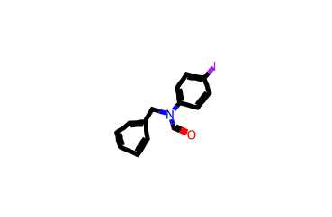 O=CN(Cc1ccccc1)c1ccc(I)cc1